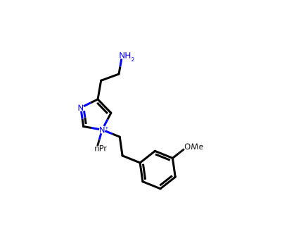 CCC[N+]1(CCc2cccc(OC)c2)C=NC(CCN)=C1